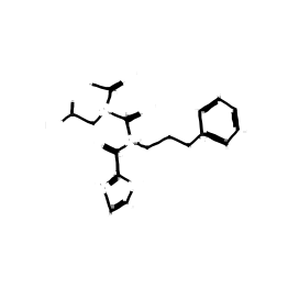 CC(C)CN(C(=O)O)C(=O)N(CCCc1ccccc1)C(=O)c1nccs1